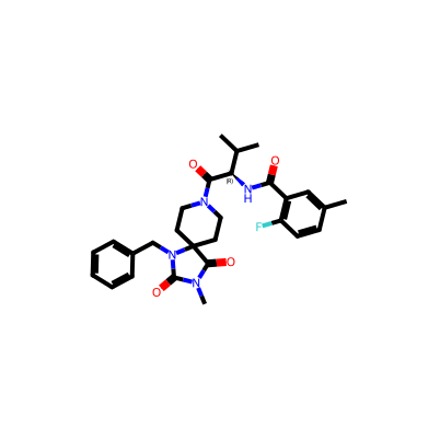 Cc1ccc(F)c(C(=O)N[C@@H](C(=O)N2CCC3(CC2)C(=O)N(C)C(=O)N3Cc2ccccc2)C(C)C)c1